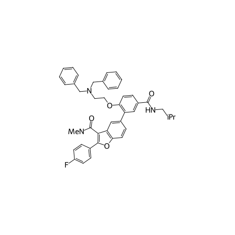 CNC(=O)c1c(-c2ccc(F)cc2)oc2ccc(-c3cc(C(=O)NCC(C)C)ccc3OCCN(Cc3ccccc3)Cc3ccccc3)cc12